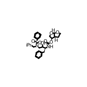 CC(C)CN(CC(O)[C@H](Cc1ccccc1)NC(=O)O[C@H]1CO[C@H]2OCC[C@H]21)S(=O)(=O)c1ccccc1